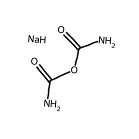 NC(=O)OC(N)=O.[NaH]